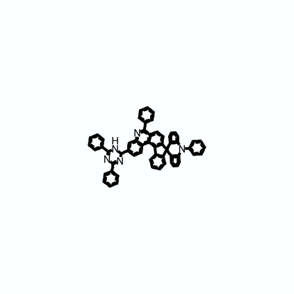 c1ccc(C2=NC(c3ccc4c(c3)nc(-c3ccccc3)c3ccc5c(c34)-c3ccccc3C53c4ccccc4N(c4ccccc4)c4ccccc43)NC(c3ccccc3)=N2)cc1